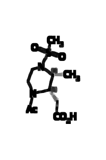 CC(=O)N1CCN(S(C)(=O)=O)[C@H](C)[C@@H]1CC(=O)O